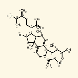 C=C(CC[C@@H](C(=O)O)[C@H]1[C@H](O)C[C@@]2(C)C3=CC[C@@H](C(=C)CO)[C@](C)(CCC(=O)O)C3=CC[C@]12C)C(C)C